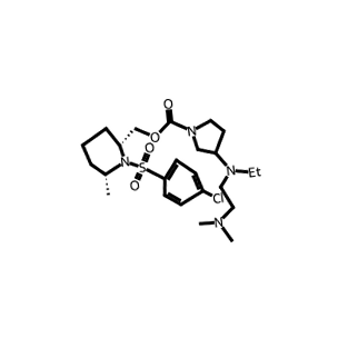 CCN(CCN(C)C)C1CCN(C(=O)OC[C@H]2CCC[C@@H](C)N2S(=O)(=O)c2ccc(Cl)cc2)C1